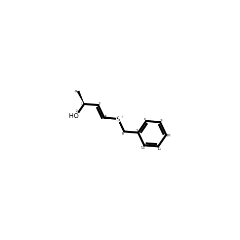 C[C@H](O)C=CSCc1ccccc1